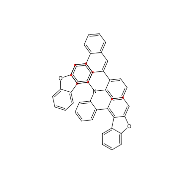 c1ccc(N(c2ccccc2-c2cccc3oc4ccccc4c23)c2cccc3oc4ccccc4c23)c(-c2cc3ccccc3c3ccccc23)c1